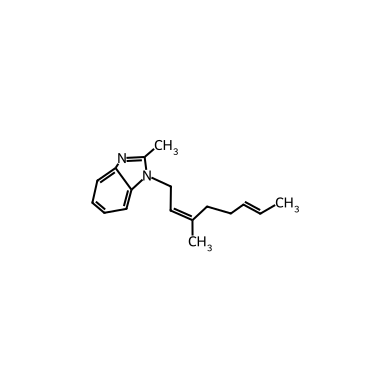 CC=CCCC(C)=CCn1c(C)nc2ccccc21